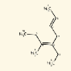 CC=CCC(CC)=C(C)CC